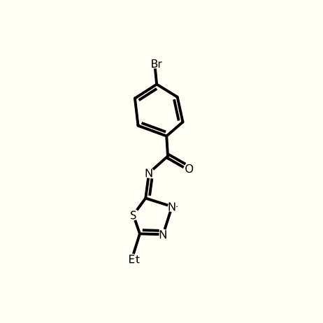 CCC1=N[N]C(=NC(=O)c2ccc(Br)cc2)S1